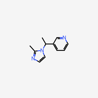 Cc1nccn1C(C)c1cccnc1